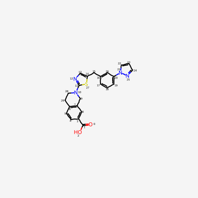 O=C(O)c1ccc2c(c1)CN(c1ncc(Cc3cccc(-n4cccn4)c3)s1)CC2